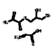 C=CC(=O)O.O=C(O)C(=O)OCC(O)CO